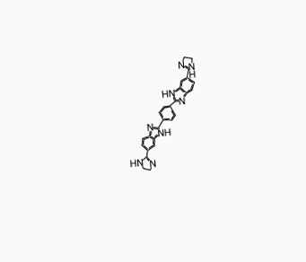 c1cc2nc(-c3ccc(-c4nc5ccc(C6=NCCN6)cc5[nH]4)cc3)[nH]c2cc1C1=NCCN1